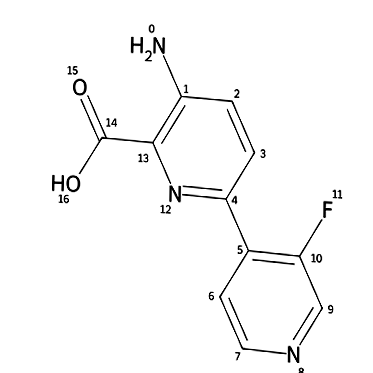 Nc1ccc(-c2ccncc2F)nc1C(=O)O